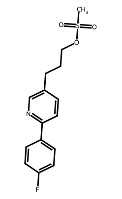 CS(=O)(=O)OCCCc1ccc(-c2ccc(F)cc2)nc1